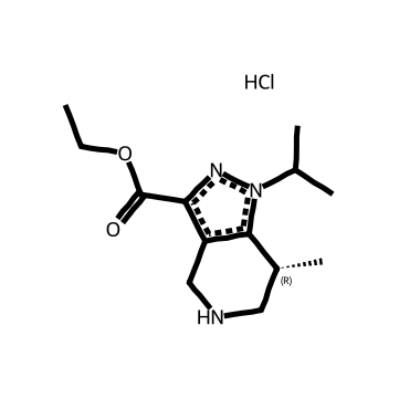 CCOC(=O)c1nn(C(C)C)c2c1CNC[C@H]2C.Cl